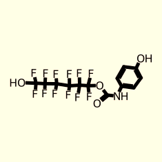 O=C(Nc1ccc(O)cc1)OC(F)(F)C(F)(F)C(F)(F)C(F)(F)C(F)(F)C(O)(F)F